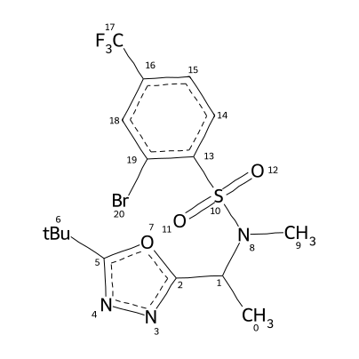 CC(c1nnc(C(C)(C)C)o1)N(C)S(=O)(=O)c1ccc(C(F)(F)F)cc1Br